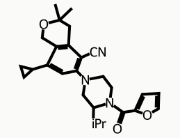 CC(C)C1CN(c2cc(C3CC3)c3c(c2C#N)CC(C)(C)OC3)CCN1C(=O)c1ccco1